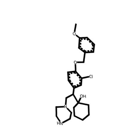 COc1cccc(COc2ccc(C(CN3CCNCC3)C3(O)CCCCC3)cc2Cl)c1